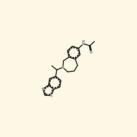 CC(=O)Nc1ccc2c(c1)CCCN(C(C)c1ccc3scnc3c1)C2